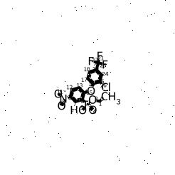 CCOP(=O)(O)c1cc([N+](=O)[O-])ccc1Oc1ccc(C(F)(F)F)cc1Cl